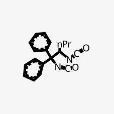 CCCC(N=C=O)C(N=C=O)(c1ccccc1)c1ccccc1